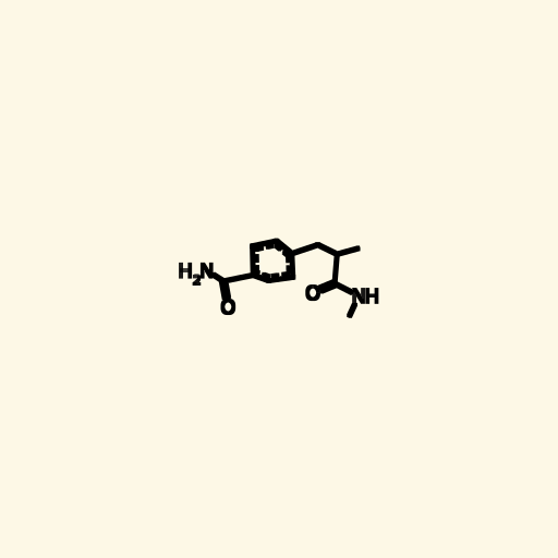 CNC(=O)C(C)Cc1ccc(C(N)=O)cc1